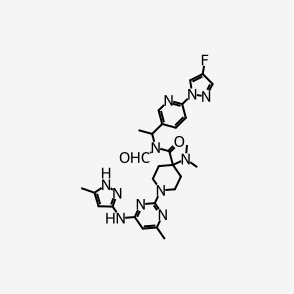 Cc1cc(Nc2cc(C)[nH]n2)nc(N2CCC(C(=O)N(C=O)C(C)c3ccc(-n4cc(F)cn4)nc3)(N(C)C)CC2)n1